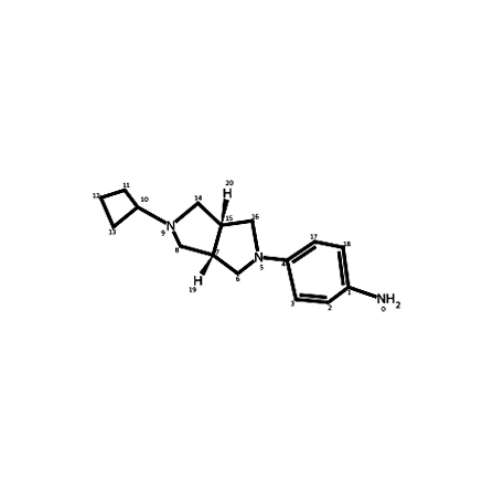 Nc1ccc(N2C[C@@H]3CN(C4CCC4)C[C@@H]3C2)cc1